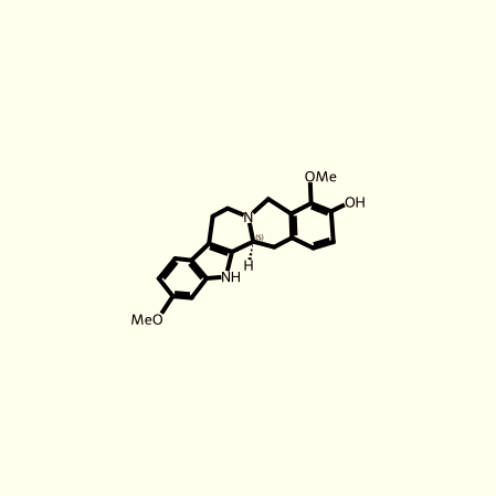 COc1ccc2c3c([nH]c2c1)[C@@H]1Cc2ccc(O)c(OC)c2CN1CC3